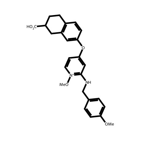 COc1ccc(CNc2cc(Oc3ccc4c(c3)CC(C(=O)O)CC4)cc[n+]2OC)cc1